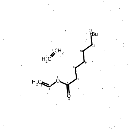 C=C.C=COC(=O)CCCCCC(C)(C)C